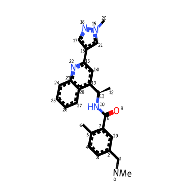 CNCc1ccc(C)c(C(=O)N[C@H](C)c2cc(-c3cnn(C)c3)nc3ccccc23)c1